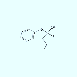 CCCC(O)(I)Sc1ccccc1